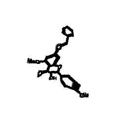 COc1ccc(-c2oc3cc(OCc4ccccc4)cc(OC)c3c(=O)c2O)cc1